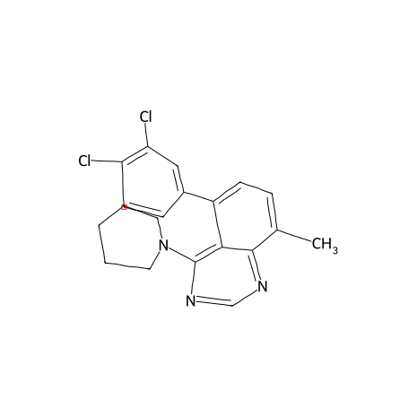 Cc1ccc(-c2ccc(Cl)c(Cl)c2)c2c(N3CCCCC3)ncnc12